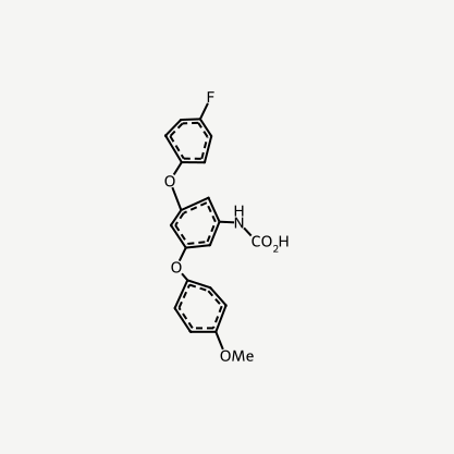 COc1ccc(Oc2cc(NC(=O)O)cc(Oc3ccc(F)cc3)c2)cc1